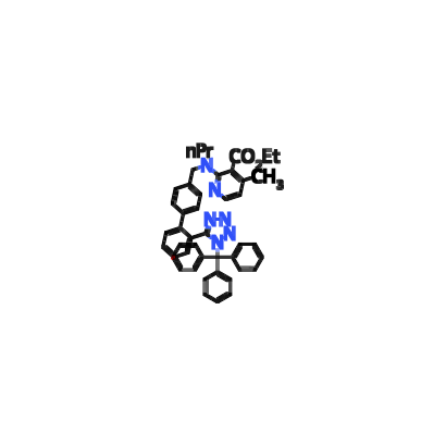 CCCN(Cc1ccc(-c2ccccc2-c2nnnn2C(c2ccccc2)(c2ccccc2)c2ccccc2)cc1)c1nccc(C)c1C(=O)OCC